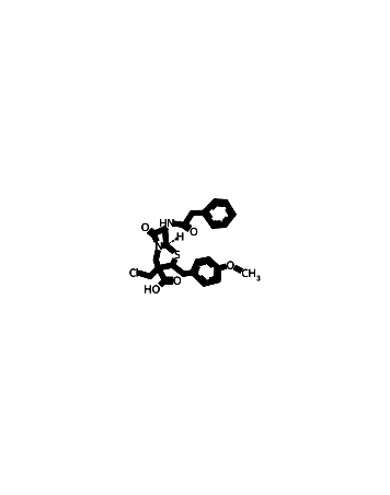 COc1ccc(CC2S[C@@H]3C(NC(=O)Cc4ccccc4)C(=O)N3CC2(CCl)C(=O)O)cc1